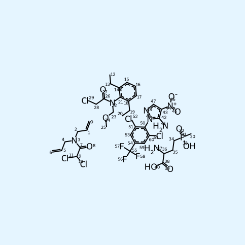 C=CCN(CC=C)C(=O)C(Cl)Cl.CCc1cccc(CC)c1N(COC)C(=O)CCl.CP(=O)(O)CCC(N)C(=O)O.Nc1c([N+](=O)[O-])cnn1-c1c(Cl)cc(C(F)(F)F)cc1Cl